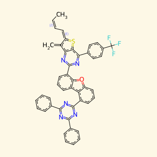 C=c1/c(=C\C=C/C)sc2c(-c3ccc(C(F)(F)F)cc3)nc(-c3cccc4c3oc3cccc(-c5nc(-c6ccccc6)nc(-c6ccccc6)n5)c34)nc12